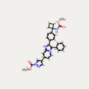 CC(C)(C)OC(=O)NC1(c2ccc(-c3nc4cc(-c5cnn(C(=O)OC(C)(C)C)c5)ccn4c3-c3ccccc3)cc2)CCC1